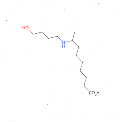 CC(CCCCCCC(=O)O)NCCCCO